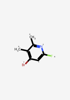 Cc1nc(F)cc(Br)c1C